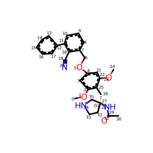 COc1cc(OCc2cccc(-c3ccccc3)c2C#N)cc(OC)c1C[C@]1(NC(C)=O)CCNC1